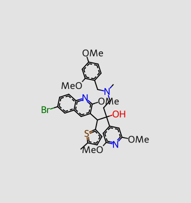 COc1ccc(CN(C)CCC(O)(c2cc(OC)nc(OC)c2)C(c2ccc(C)s2)c2cc3cc(Br)ccc3nc2OC)c(OC)c1